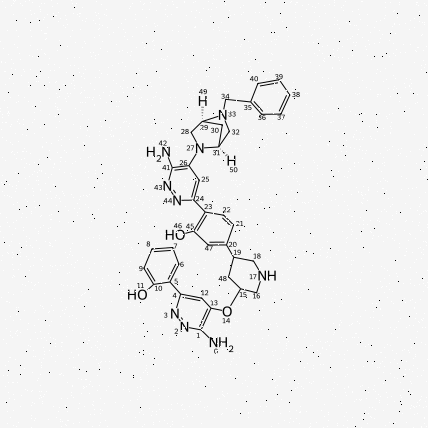 Nc1nnc(-c2ccccc2O)cc1OC1CNCC(c2ccc(-c3cc(N4C[C@@H]5C[C@H]4CN5Cc4ccccc4)c(N)nn3)c(O)c2)C1